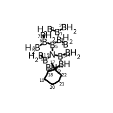 BB(B)B(B)B(B(B)B)N(B(B)B)B(B)BC1(C)CCCCC1